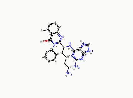 Cc1cccc2nc(C(CCCCN)Nc3nc(N)nc4[nH]cnc34)n(-c3ccccc3)c(=O)c12